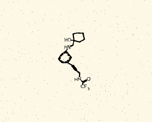 O=C(NCC#Cc1cccc(NCC2(O)CCCCC2)c1)C(F)(F)F